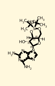 CC(C)(C)[Si]1(C(C)(C)C)OC[C@H]2O[C@@H](n3cnc4c(N)nc(N)nc43)[C@H](O)[C@@H]2O1